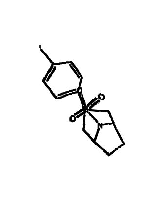 O=C1CC2CCC(C1)N2S(=O)(=O)c1ccc(I)cc1